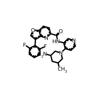 CC1CC(N)CN(c2ccncc2NC(=O)c2ccc3occ(-c4c(F)cccc4F)c3n2)C1